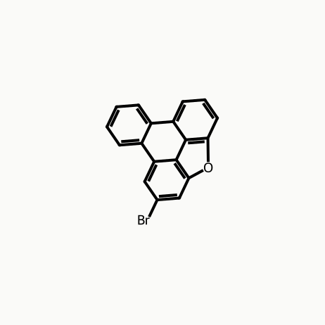 Brc1cc2oc3cccc4c5ccccc5c(c1)c2c34